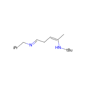 CC(=CCC=NCC(C)C)NC(C)(C)C